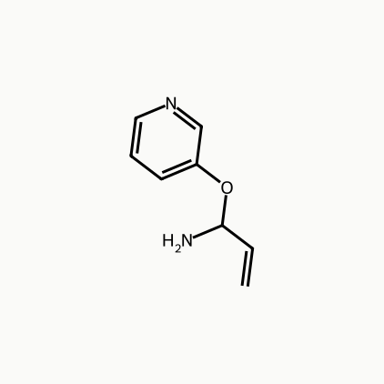 C=CC(N)Oc1cccnc1